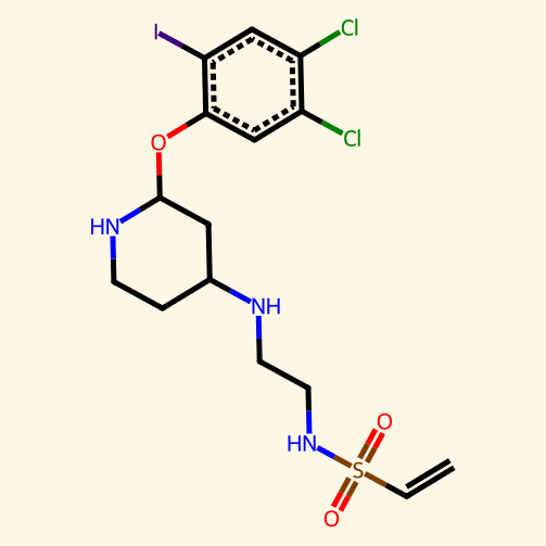 C=CS(=O)(=O)NCCNC1CCNC(Oc2cc(Cl)c(Cl)cc2I)C1